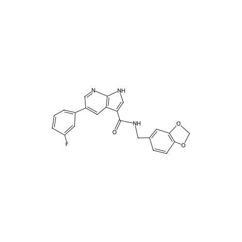 O=C(NCc1ccc2c(c1)OCO2)c1c[nH]c2ncc(-c3cccc(F)c3)cc12